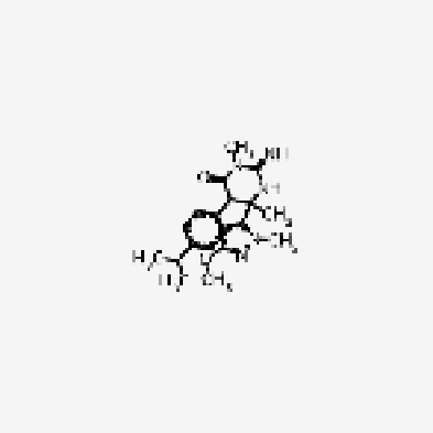 COc1cc(C2(C)NC(=N)N(C)C(=O)C2c2ccc(C(C)C)cc2)n(C)n1